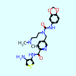 CN(C)CCCN(Cc1ccc(C(=O)Nc2cscc2N)nc1)C(=O)Nc1ccc2c(c1)OCO2